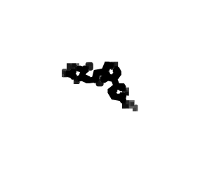 Nc1ccc(-c2cncc3cc(C=C4SC(=S)NC4=O)oc23)cn1